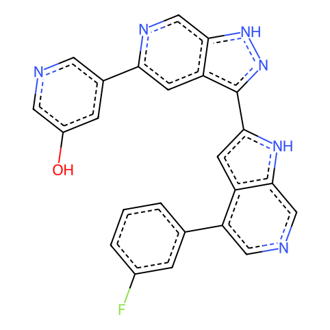 Oc1cncc(-c2cc3c(-c4cc5c(-c6cccc(F)c6)cncc5[nH]4)n[nH]c3cn2)c1